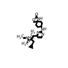 C=CNN(C)/C(CC1CC1)=C(\C)c1ccnc(NC2CCC3(CC2)COC(=O)N3)n1